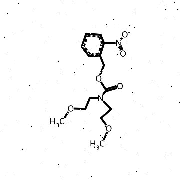 COCCN(CCOC)C(=O)OCc1ccccc1[N+](=O)[O-]